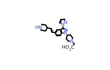 O=C(O)CN1CCC(n2nc(-n3cccn3)c3cc(C=CC4CCNCC4)ccc32)CC1